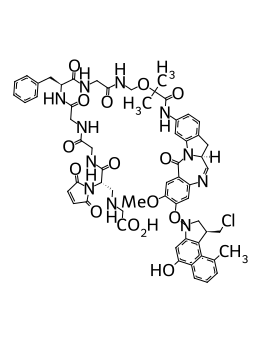 COc1cc2c(cc1ON1C[C@@H](CCl)c3c1cc(O)c1cccc(C)c31)N=C[C@@H]1Cc3ccc(NC(=O)C(C)(C)OCNC(=O)CNC(=O)[C@H](Cc4ccccc4)NC(=O)CNC(=O)CNC(=O)[C@H](CNCC(=O)O)N4C(=O)C=CC4=O)cc3N1C2=O